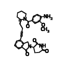 COc1cc(C(=O)N2CCCC[C@@H]2CCC#Cc2cccc3c2CN(C2CCC(=O)NC2=O)C3=O)ccc1N